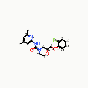 Cc1cc(C)nc(NC(=O)N2CCOC(COc3ccccc3F)C2)c1